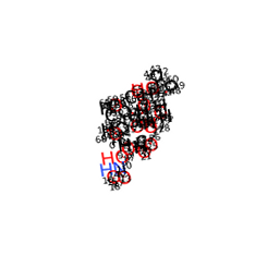 C=C1C2C[C@@H]3O[C@H](C[C@H](O)CNC(=O)OC(C)(C)C)[C@H](OC)[C@H]3CC(=O)CC3CC[C@@H]4O[C@H]5[C@@H](CC(C)(C)[Si](O)(c6ccccc6)c6ccccc6)[C@@H](CC(=O)CCC6CC(=C)[C@H](CC[C@@H](C[C@H]1C)O2)O6)O[C@H]5[C@@H](CC(C)(C)[Si](O)(c1ccccc1)c1ccccc1)[C@H]4O3